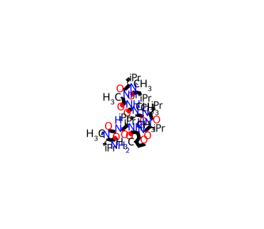 CC(C)CC(=O)N(C)[C@@H](CC(C)C)C(=O)N[C@@H](C)C(=O)NC(=O)N(C)[C@@H](CC(C)C)C(=O)N(C)[C@@H](CC(C)C)C(=O)N[C@H](C(=O)N(C)[C@H](C(=O)N[C@H](C(=O)NCC(=O)N(C)[C@@H](CC(C)C)C(N)=O)C(C)C)[C@@H]1OCC[C@H]1C)C(C)C